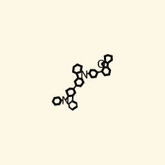 C1=CCC2C(=C1)c1cc(-c3ccc4c(c3)c3ccccc3n4-c3ccc(-c4cccc5c4oc4ccccc45)cc3)ccc1N2c1ccccc1